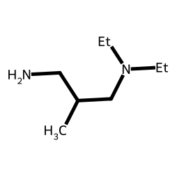 CCN(CC)CC(C)CN